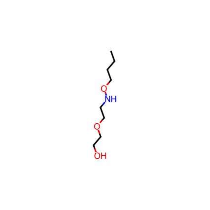 CCCCONCCOCCO